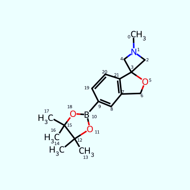 CN1CC2(C1)OCc1cc(B3OC(C)(C)C(C)(C)O3)ccc12